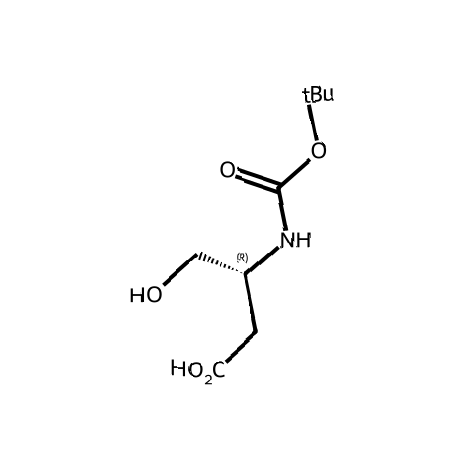 CC(C)(C)OC(=O)N[C@@H](CO)CC(=O)O